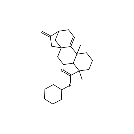 C=C1CC23CCC4C(C)(C(=O)NC5CCCCC5)CCCC4(C)C2=CCC1C3